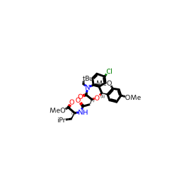 COC(=O)[C@H](CC(C)C)NC(=O)C[C@H]1O[C@H](c2ccc(OC)cc2OC)c2cc(Cl)ccc2N(CC(C)(C)C)C1=O